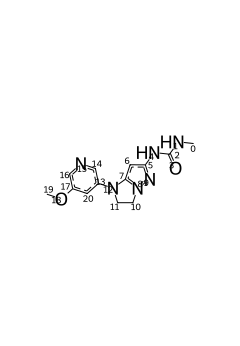 CNC(=O)Nc1cc2n(n1)CCN2c1cncc(OC)c1